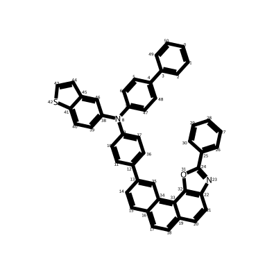 c1ccc(-c2ccc(N(c3ccc(-c4ccc5ccc6ccc7nc(-c8ccccc8)oc7c6c5c4)cc3)c3ccc4sccc4c3)cc2)cc1